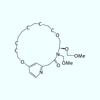 COCO[C@@H]1COCCCCCCCCCCOc2ccnc(c2)CC(=O)N1COC